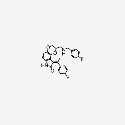 CC(=C1C(=O)Nc2ccc3c(c21)OC(CNCc1ccc(F)cc1)CO3)c1ccc(F)cc1